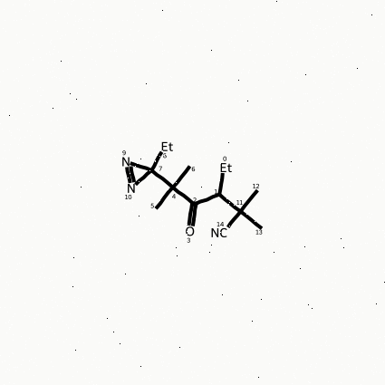 CCC(C(=O)C(C)(C)C1(CC)N=N1)C(C)(C)C#N